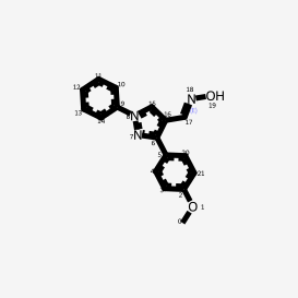 COc1ccc(-c2nn(-c3ccccc3)cc2/C=N/O)cc1